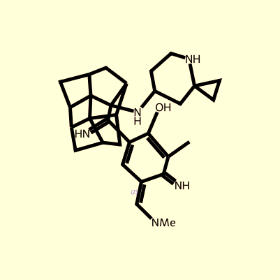 CN/C=C1/C=C(C(=N)C2(NC3CCNC4(CC4)C3)C3CC4CC5C6CC7CC3C76C452)C(O)=C(C)C1=N